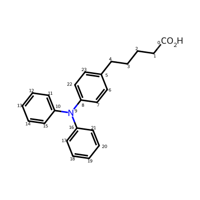 O=C(O)CCCCc1ccc(N(c2ccccc2)c2ccccc2)cc1